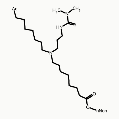 CCCCCCCCCOC(=O)CCCCCCCN(CCCCCCCC(C)=O)CCCNC(=S)N(C)C